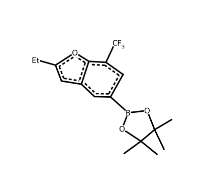 CCc1cc2cc(B3OC(C)(C)C(C)(C)O3)cc(C(F)(F)F)c2o1